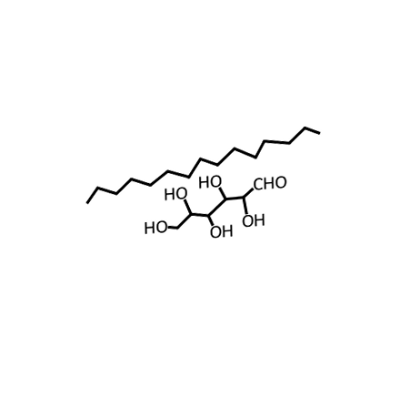 CCCCCCCCCCCCCCC.O=CC(O)C(O)C(O)C(O)CO